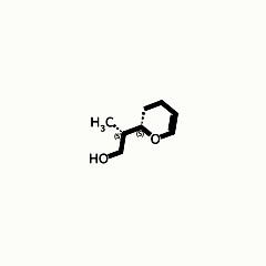 C[C@@H](CO)[C@@H]1CCC=CO1